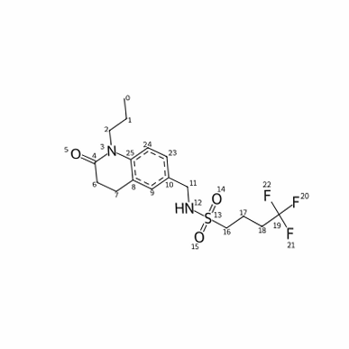 CCCN1C(=O)CCc2cc(CNS(=O)(=O)CCCC(F)(F)F)ccc21